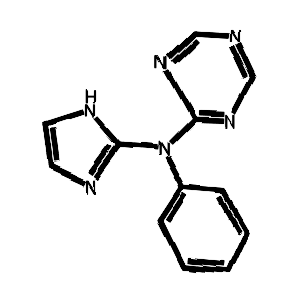 c1ccc(N(c2ncncn2)c2ncc[nH]2)cc1